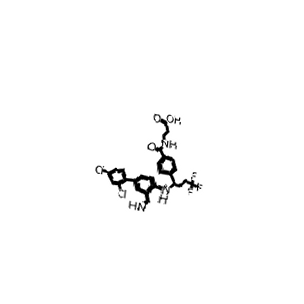 N=Cc1cc(-c2ccc(Cl)cc2Cl)ccc1NC(CCC(F)(F)F)c1ccc(C(=O)NCCC(=O)O)cc1